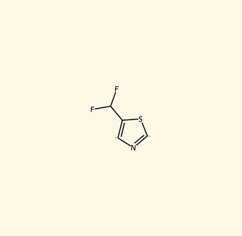 FC(F)c1[c]n[c]s1